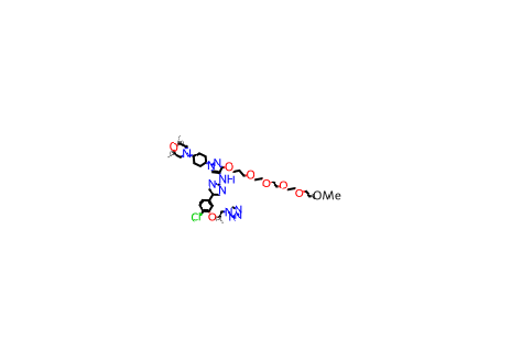 COCCOCCOCCOCCOCCCOc1nn(C2CCC(N3C[C@@H](C)O[C@@H](C)C3)CC2)cc1Nc1ncc(-c2ccc(Cl)c(O[C@@H](C)Cn3cnnn3)c2)cn1